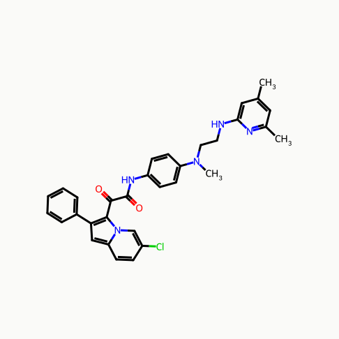 Cc1cc(C)nc(NCCN(C)c2ccc(NC(=O)C(=O)c3c(-c4ccccc4)cc4ccc(Cl)cn34)cc2)c1